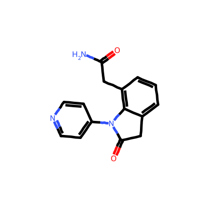 NC(=O)Cc1cccc2c1N(c1ccncc1)C(=O)C2